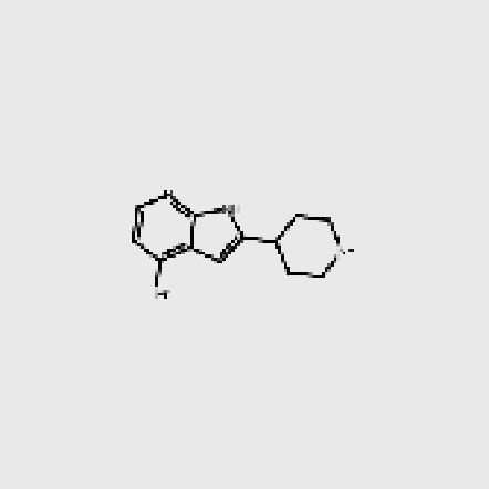 CC(C)c1ccnc2[nH]c(C3CCNCC3)cc12